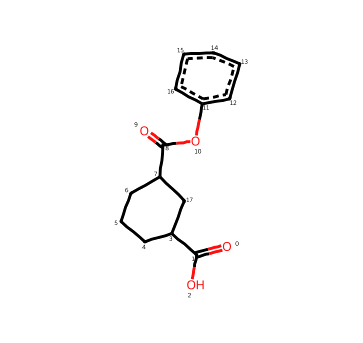 O=C(O)C1CCCC(C(=O)Oc2ccccc2)C1